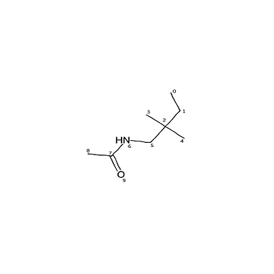 CCC(C)(C)CNC(C)=O